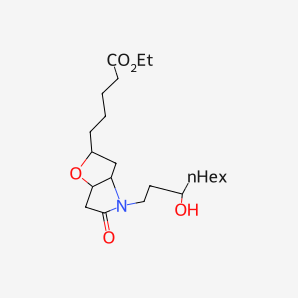 CCCCCCC(O)CCN1C(=O)CC2OC(CCCCC(=O)OCC)CC21